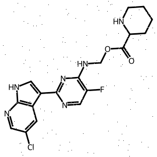 O=C(OCNc1nc(-c2c[nH]c3ncc(Cl)cc23)ncc1F)C1CCCCN1